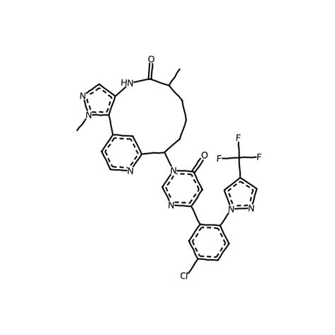 CC1CCCC(n2cnc(-c3cc(Cl)ccc3-n3cc(C(F)(F)F)cn3)cc2=O)c2cc(ccn2)-c2c(cnn2C)NC1=O